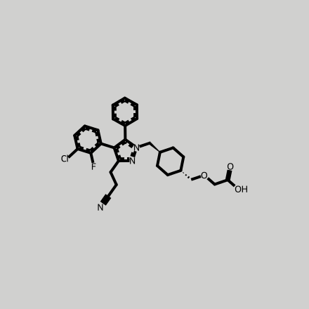 N#CCCc1nn(C[C@H]2CC[C@H](COCC(=O)O)CC2)c(-c2ccccc2)c1-c1cccc(Cl)c1F